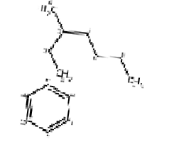 [CH2]C(CC)CCCC.[c]1ccccc1